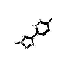 Cc1ccc(-c2nnn(C)n2)nc1